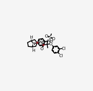 CC(C)(Oc1ccc(Cl)c(Cl)c1)C(=O)N[C@H]1C[C@H]2CC[C@@H](C1)N2c1ccc(NS(C)(=O)=O)cc1